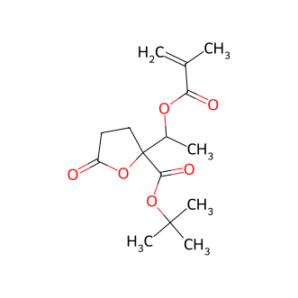 C=C(C)C(=O)OC(C)C1(C(=O)OC(C)(C)C)CCC(=O)O1